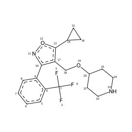 FC(F)(F)c1ccccc1-c1noc(C2CC2)c1COC1CCNCC1